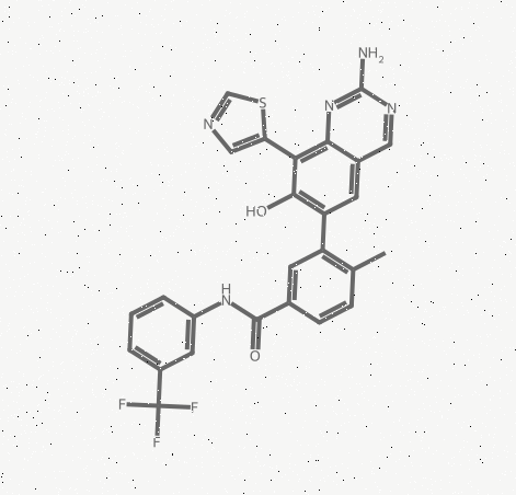 Cc1ccc(C(=O)Nc2cccc(C(F)(F)F)c2)cc1-c1cc2cnc(N)nc2c(-c2cncs2)c1O